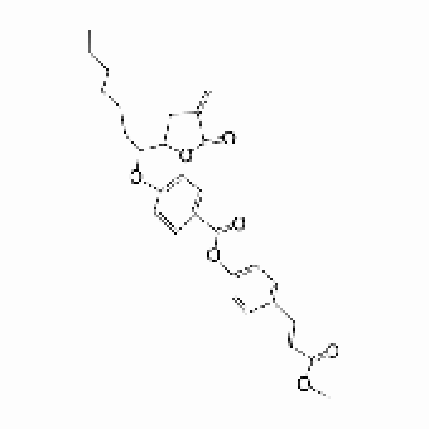 C=C1CC(C(CCCCCC)Oc2ccc(C(=O)Oc3ccc(/C=C/C(=O)OC)cc3)cc2)OC1=O